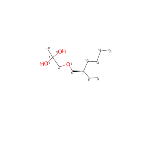 [CH2]C(O)(O)COC[C@H](CC)CCCC